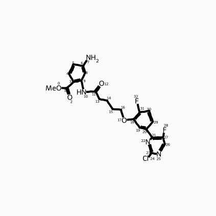 COC(=O)c1ccc(N)cc1NC(=O)CCCCOc1cc(-c2nc(Cl)ncc2F)ccc1F